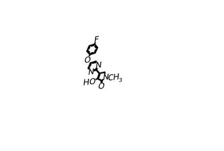 CN1CC(c2ncc(Oc3ccc(F)cc3)cn2)=C(O)C1=O